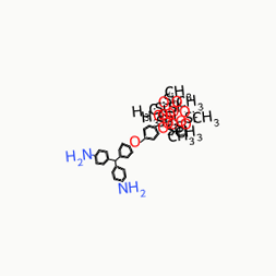 C[Si]12O[Si]3(C)O[Si]4(C)O[Si](C)(O1)O[Si]1(C)O[Si](C)(O2)O[Si](C)(O3)O[Si](c2ccc(COc3ccc(C(c5ccc(N)cc5)c5ccc(N)cc5)cc3)cc2)(O4)O1